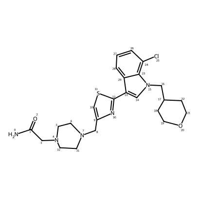 NC(=O)CN1CCN(Cc2csc(-c3cn(CC4CCOCC4)c4c(Cl)cccc34)n2)CC1